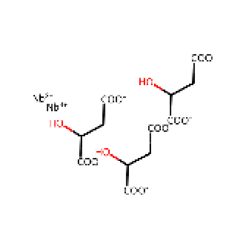 O=C([O-])CC(O)C(=O)[O-].O=C([O-])CC(O)C(=O)[O-].O=C([O-])CC(O)C(=O)[O-].[Nb+3].[Nb+3]